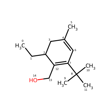 CCC1CC(C)=CC(C(C)(C)C)=C1CO